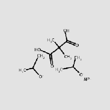 CC(C)(C(=O)O)C(=O)O.CC(C)[O-].CC(C)[O-].[Al+2]